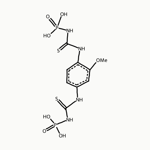 COc1cc(NC(=S)NP(=O)(O)O)ccc1NC(=S)NP(=O)(O)O